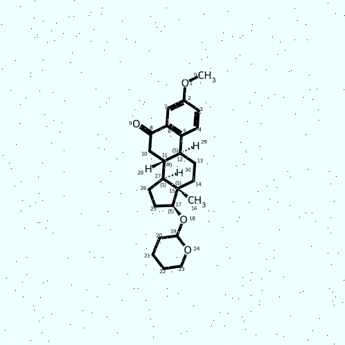 COc1ccc2c(c1)C(=O)C[C@@H]1[C@@H]2CC[C@]2(C)[C@@H](OC3CCCCO3)CC[C@@H]12